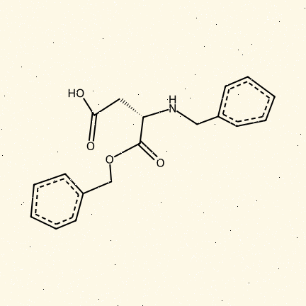 O=C(O)C[C@H](NCc1ccccc1)C(=O)OCc1ccccc1